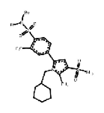 CCN(C(C)(C)C)S(=O)(=O)c1ccc(-c2cc(S(N)(=O)=O)c(C)n2CC2CCCCC2)cc1C(F)(F)F